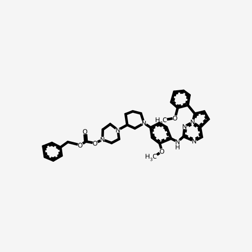 COc1cc(N2CCCC(N3CCN(OC(=O)OCc4ccccc4)CC3)C2)ccc1Nc1ncc2ccc(-c3ccccc3OC)n2n1